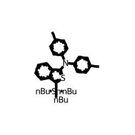 CCC[CH2][Sn]([CH2]CCC)([CH2]CCC)[c]1sc(N(c2ccc(C)cc2)c2ccc(C)cc2)c2ccccc12